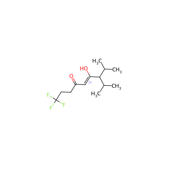 CC(C)C(/C(O)=C/C(=O)CCC(F)(F)F)C(C)C